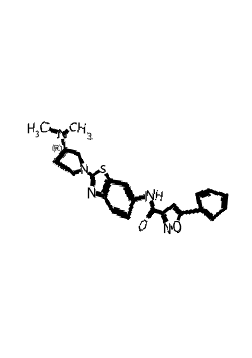 CN(C)[C@@H]1CCN(c2nc3ccc(NC(=O)c4cc(-c5ccccc5)on4)cc3s2)C1